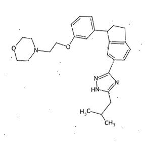 CC(C)Cc1nc(-c2ccc3c(c2)C(c2cccc(OCCN4CCOCC4)c2)CC3)n[nH]1